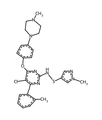 Cc1ccccc1-c1nc(NSc2cnn(C)c2)nc(Oc2ccc(N3CCN(C)CC3)cc2)c1Cl